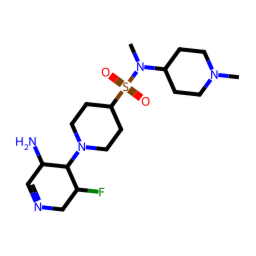 CN1CCC(N(C)S(=O)(=O)C2CCN(C3C(N)C=NCC3F)CC2)CC1